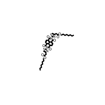 CCCCCCCCOC(=O)Cc1csc(N2C(=O)c3ccc4c5c(ccc(c35)C2=O)C(=O)N(c2nc(CC(=O)OCCCCCCCC)cs2)C4=O)n1